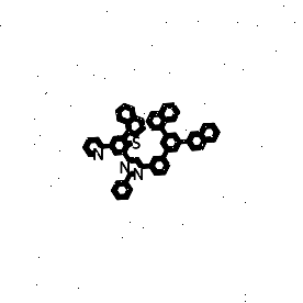 c1ccc(-c2nc(-c3cccc(-c4cc(-c5ccc6ccccc6c5)cc(-c5cccc6ccccc56)c4)c3)cc(-c3cc(-c4ccccn4)cc4c3sc3ccc5ccccc5c34)n2)cc1